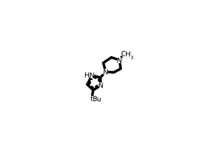 CN1CCN(c2nc(C(C)(C)C)c[nH]2)CC1